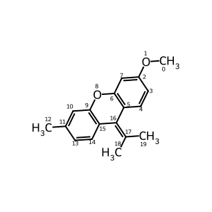 COc1ccc2c(c1)Oc1cc(C)ccc1C2=C(C)C